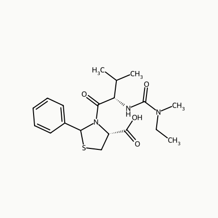 CCN(C)C(=O)N[C@H](C(=O)N1C(c2ccccc2)SC[C@H]1C(=O)O)C(C)C